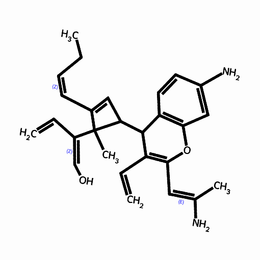 C=CC1=C(/C=C(\C)N)Oc2cc(N)ccc2C1C1C=C(/C=C\CC)C1(C)/C(C=C)=C\O